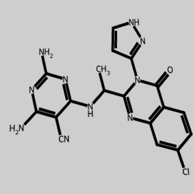 CC(Nc1nc(N)nc(N)c1C#N)c1nc2cc(Cl)ccc2c(=O)n1-c1cc[nH]n1